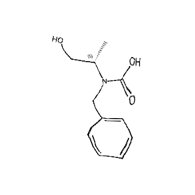 C[C@@H](CO)N(Cc1ccccc1)C(=O)O